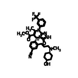 COC(=O)C1=C(C)N(c2cccc(C(F)(F)F)c2)c2n[nH]c(=O)n2[C@@H]1c1ccc(C#N)cc1CCCN(C)[C@H]1CC[C@H](O)CC1